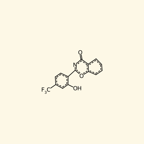 O=c1nc(-c2ccc(C(F)(F)F)cc2O)oc2ccccc12